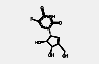 O=c1[nH]c(=O)n([C@@H]2C=C(CO)[C@@H](O)[C@H]2O)cc1F